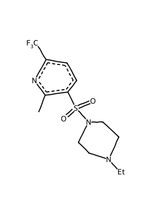 CCN1CCN(S(=O)(=O)c2ccc(C(F)(F)F)nc2C)CC1